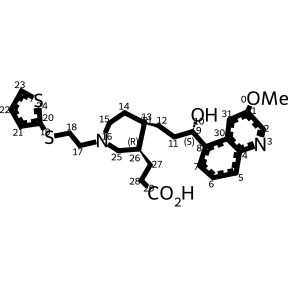 COc1cnc2cccc([C@@H](O)CC[C@@H]3CCN(CCSc4cccs4)C[C@@H]3CCC(=O)O)c2c1